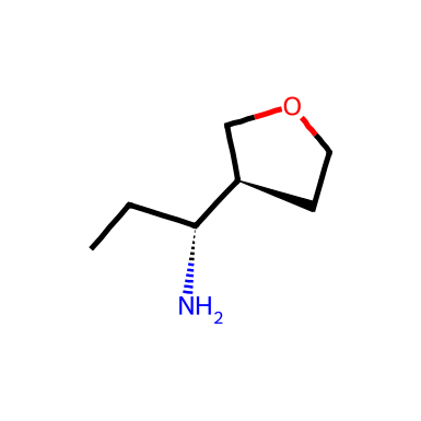 CC[C@@H](N)[C@@H]1CCOC1